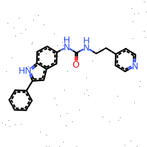 O=C(NCCc1ccncc1)Nc1ccc2[nH]c(-c3ccccc3)cc2c1